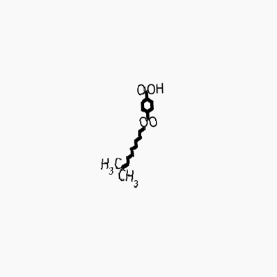 CC(C)CCCCCCCCCOC(=O)C1CCC(C(=O)O)CC1